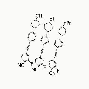 CCC[C@H]1CC[C@H](c2ccc(C#Cc3ccc(C#N)c(F)c3)cc2)CC1.CC[C@H]1CC[C@H](c2ccc(C#Cc3ccc(C#N)c(F)c3)cc2)CC1.C[C@H]1CC[C@H](c2ccc(C#Cc3ccc(C#N)c(F)c3)cc2)CC1